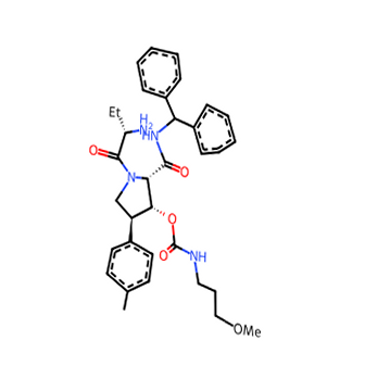 CC[C@H](N)C(=O)N1C[C@H](c2ccc(C)cc2)[C@@H](OC(=O)NCCCOC)[C@H]1C(=O)NC(c1ccccc1)c1ccccc1